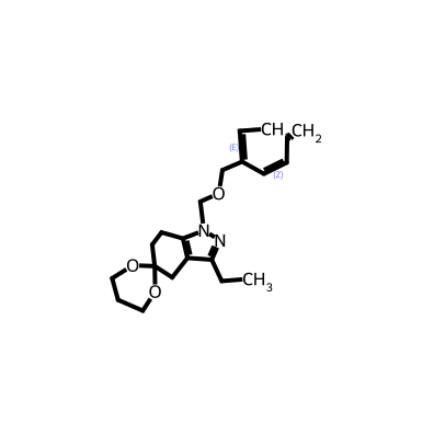 C=C/C=C\C(=C/C)COCn1nc(CC)c2c1CCC1(C2)OCCCO1